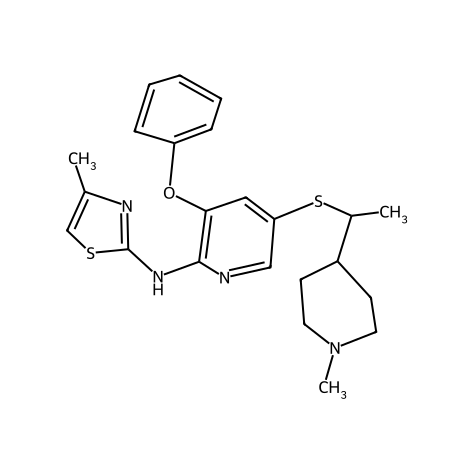 Cc1csc(Nc2ncc(SC(C)C3CCN(C)CC3)cc2Oc2ccccc2)n1